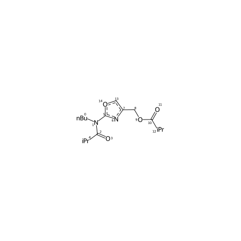 CCCCN(C(=O)C(C)C)c1nc(COC(=O)C(C)C)co1